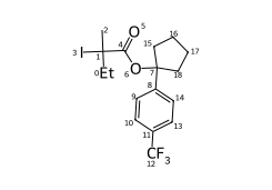 CCC(C)(I)C(=O)OC1(c2ccc(C(F)(F)F)cc2)CCCC1